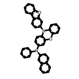 c1ccc(N(c2ccc3c(c2)Oc2ccccc2N3c2ccc3c(c2)oc2ccccc23)c2ccc3ccccc3c2)cc1